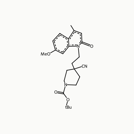 COc1ccc2c(C)cc(=O)n(CCC3(C#N)CCN(C(=O)OC(C)(C)C)CC3)c2c1